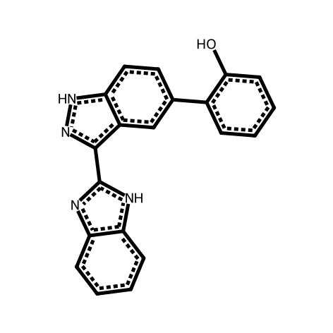 Oc1ccccc1-c1ccc2[nH]nc(-c3nc4ccccc4[nH]3)c2c1